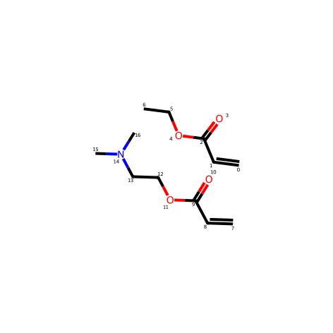 C=CC(=O)OCC.C=CC(=O)OCCN(C)C